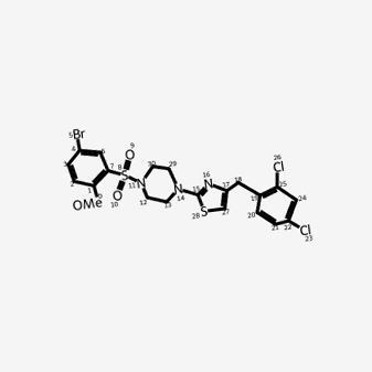 COc1ccc(Br)cc1S(=O)(=O)N1CCN(c2nc(Cc3ccc(Cl)cc3Cl)cs2)CC1